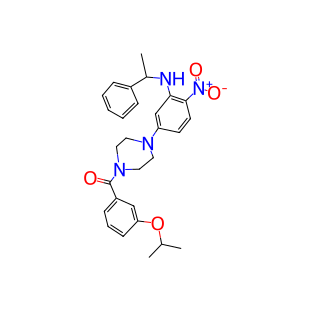 CC(C)Oc1cccc(C(=O)N2CCN(c3ccc([N+](=O)[O-])c(NC(C)c4ccccc4)c3)CC2)c1